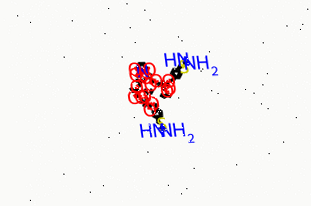 CCC(C)OCC(C)(COC(=O)C(C)OCC(C)(CO[C@@](C)(CC)C(=O)OCC(C)(COC(C)CC)C(=O)OCc1ccc(CSC(=N)N)cc1)C(=O)ON1C(=O)CCC1=O)C(=O)OCc1ccc(CSC(=N)N)cc1